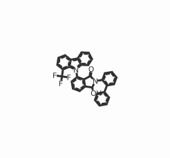 O=C1c2c(cccc2-n2c3ccccc3c3cccc(C(F)(F)F)c32)C(O)N1c1ccccc1-c1ccccc1